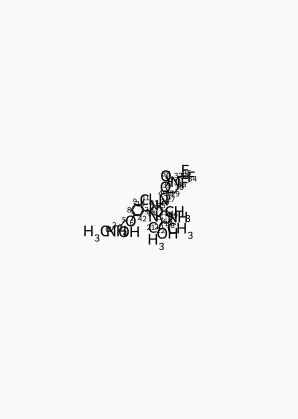 CNC[C@@H](O)COc1ccc(Cl)c(-c2nc(/C(C(C)=N)=C(\C)O)c(C)c(N3CC4(CCN(CC(F)(F)F)C(=O)O4)C3)n2)c1